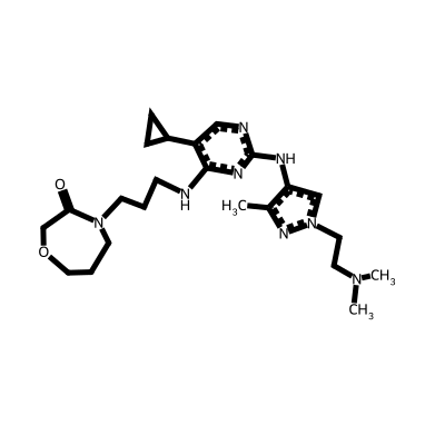 Cc1nn(CCN(C)C)cc1Nc1ncc(C2CC2)c(NCCCN2CCCOCC2=O)n1